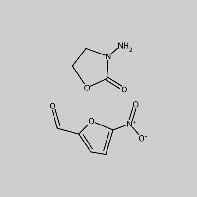 NN1CCOC1=O.O=Cc1ccc([N+](=O)[O-])o1